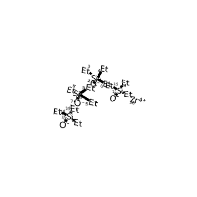 CC[Si]([O-])(CC)CC.CC[Si]([O-])(CC)CC.CC[Si]([O-])(CC)CC.CC[Si]([O-])(CC)CC.[Zr+4]